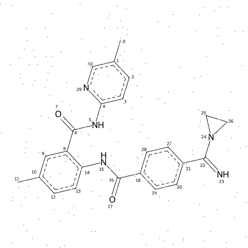 Cc1ccc(NC(=O)c2cc(C)ccc2NC(=O)c2ccc(C(=N)N3CC3)cc2)nc1